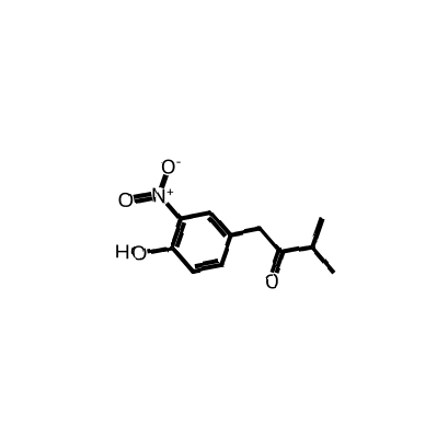 CC(C)C(=O)Cc1ccc(O)c([N+](=O)[O-])c1